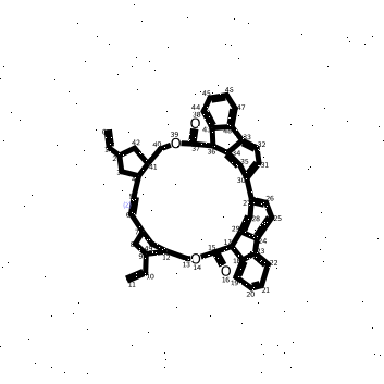 C=CC1CC2/C=C\C3CC(C=C)C(COC(=O)C4c5ccccc5-c5ccc(cc54)-c4ccc5c(c4)C(C(=O)OCC2C1)c1ccccc1-5)C3